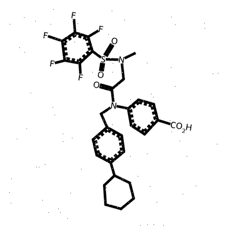 CN(CC(=O)N(Cc1ccc(C2CCCCC2)cc1)c1ccc(C(=O)O)cc1)S(=O)(=O)c1c(F)c(F)c(F)c(F)c1F